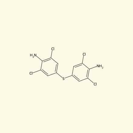 Nc1c(Cl)cc(Sc2cc(Cl)c(N)c(Cl)c2)cc1Cl